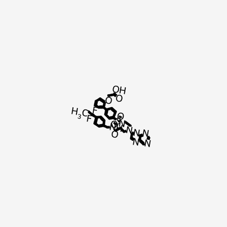 CCC(F)(F)c1ccc(CNC(=O)C2CN(c3cnc4cncnc4n3)CCN2S(=O)(=O)c2ccc(-c3ccccc3OCC(=O)O)cc2)cc1